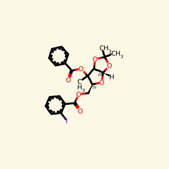 CC1(C)OC2[C@@H](O[C@@H](COC(=O)c3ccccc3I)C2(C)OC(=O)c2ccccc2)O1